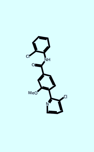 COc1cc(C(=O)Nc2ccccc2Cl)ccc1-c1ncccc1Cl